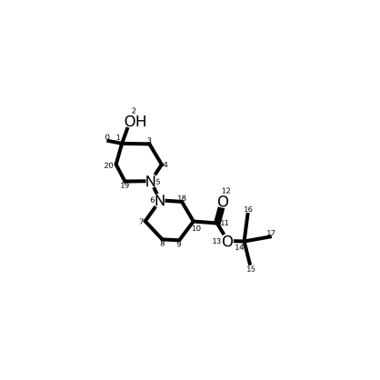 CC1(O)CCN(N2CCCC(C(=O)OC(C)(C)C)C2)CC1